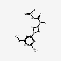 CN(C(=O)OS(=O)Cl)C1CN(c2cc(CCl)nc(N)n2)C1